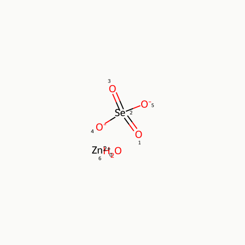 O.O=[Se](=O)([O-])[O-].[Zn+2]